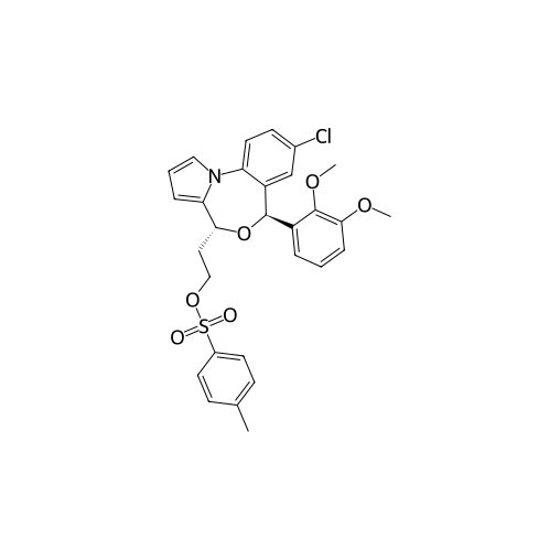 COc1cccc([C@H]2O[C@H](CCOS(=O)(=O)c3ccc(C)cc3)c3cccn3-c3ccc(Cl)cc32)c1OC